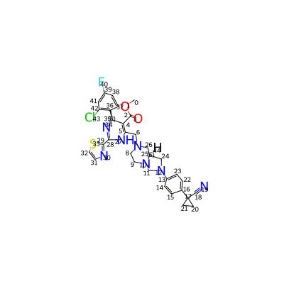 COC(=O)C1=C(CN2CCN3CN(c4ccc(C5(C#N)CC5)cc4)C[C@@H]3C2)NC(c2nccs2)=N[C@H]1c1ccc(F)cc1Cl